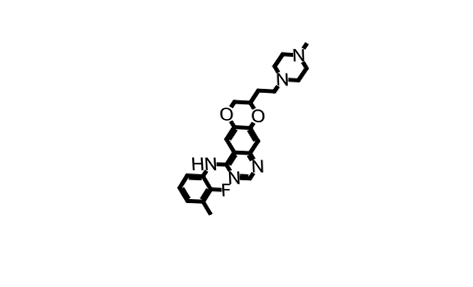 Cc1cccc(Nc2ncnc3cc4c(cc23)OCC(CCN2CCN(C)CC2)O4)c1F